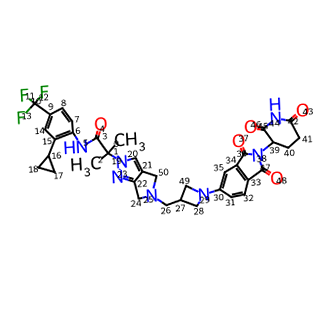 CC(C)(C(=O)Nc1ccc(C(F)(F)F)cc1C1CC1)n1cc2c(n1)CN(CC1CN(c3ccc4c(c3)C(=O)N(C3CCC(=O)NC3=O)C4=O)C1)C2